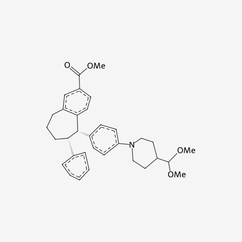 COC(=O)c1ccc2c(c1)CCC[C@@H](c1ccccc1)[C@H]2c1ccc(N2CCC(C(OC)OC)CC2)cc1